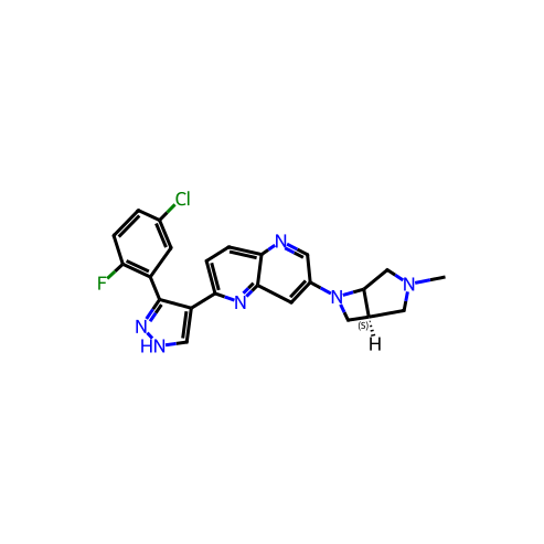 CN1CC2[C@@H](C1)CN2c1cnc2ccc(-c3c[nH]nc3-c3cc(Cl)ccc3F)nc2c1